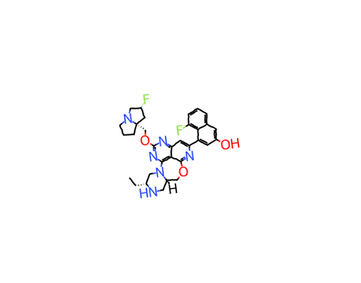 CC[C@@H]1CN2c3nc(OC[C@]45CCCN4C[C@H](F)C5)nc4cc(-c5cc(O)cc6cccc(F)c56)nc(c34)OC[C@@H]2CN1